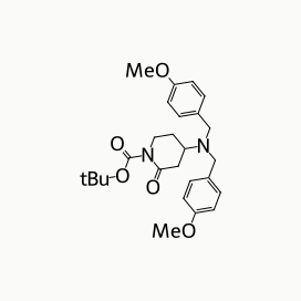 COc1ccc(CN(Cc2ccc(OC)cc2)C2CCN(C(=O)OC(C)(C)C)C(=O)C2)cc1